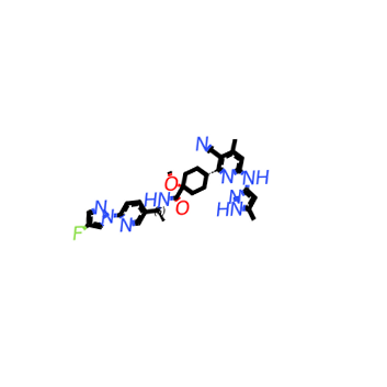 CO[C@]1(C(=O)N[C@@H](C)c2ccc(-n3cc(F)cn3)nc2)CC[C@@H](c2nc(Nc3cc(C)[nH]n3)cc(C)c2C#N)CC1